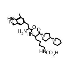 Cc1cc(CC(N)C(=O)NC(CCCCNC(=O)O)C(=O)N2CCC(N3CCCCC3)CC2)cc2cn[nH]c12